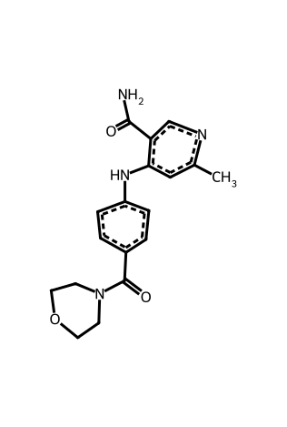 Cc1cc(Nc2ccc(C(=O)N3CCOCC3)cc2)c(C(N)=O)cn1